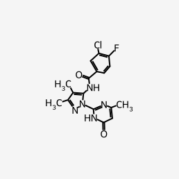 Cc1cc(=O)[nH]c(-n2nc(C)c(C)c2NC(=O)c2ccc(F)c(Cl)c2)n1